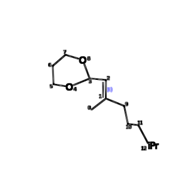 C/C(=C\C1OCCCO1)CCCC(C)C